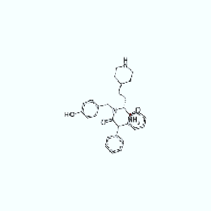 NC(=O)[C@@H](CCC1CCNCC1)N(Cc1ccc(O)cc1)C(=O)C(c1ccccc1)c1ccccc1